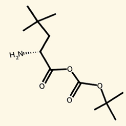 CC(C)(C)C[C@@H](N)C(=O)OC(=O)OC(C)(C)C